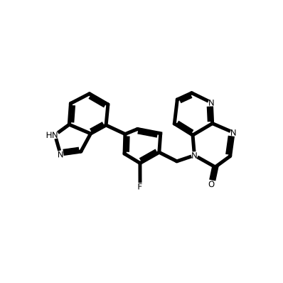 O=c1cnc2ncccc2n1Cc1ccc(-c2cccc3[nH]ncc23)cc1F